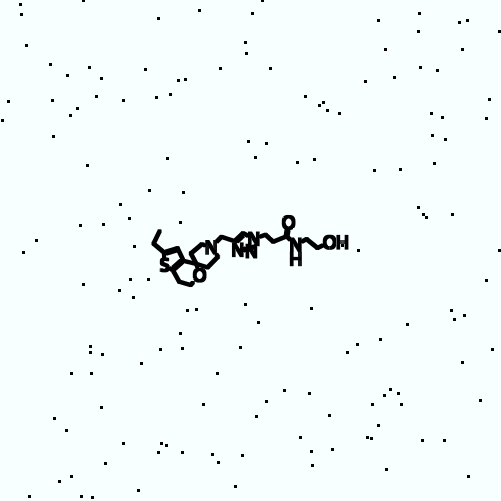 CCc1cc2c(s1)CCOC21CCN(Cc2cn(CCC(=O)NCCO)nn2)CC1